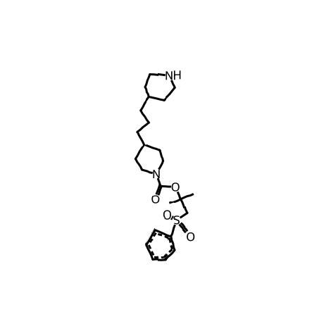 CC(C)(CS(=O)(=O)c1ccccc1)OC(=O)N1CCC(CCCC2CCNCC2)CC1